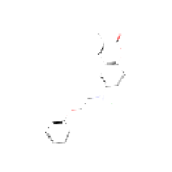 Cc1cc2cc(NCCOc3ccccc3)ccc2oc1=O.Cl